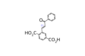 O=C(O)c1ccc(C(=O)O)c(/C=C/C(=O)c2ccccc2)c1